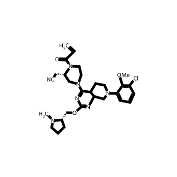 C=CC(=O)N1CCN(C2=NC(OC[C@@H]3CCCN3C)=NC3CN(c4cccc(Cl)c4OC)CCC23)C[C@@H]1CC#N